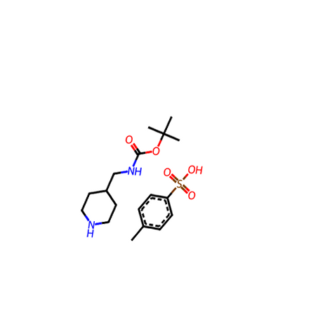 CC(C)(C)OC(=O)NCC1CCNCC1.Cc1ccc(S(=O)(=O)O)cc1